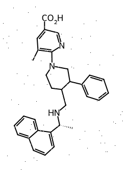 Cc1cc(C(=O)O)cnc1N1CCC(CN[C@H](C)c2cccc3ccccc23)C(c2ccccc2)C1